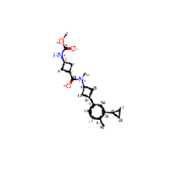 COC(=O)NC1CC(C(=O)N(C)C2CC(c3ccc(C)c(C4CC4)c3)C2)C1